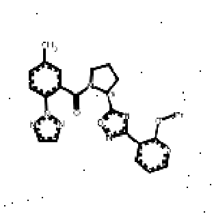 Cc1ccc(-n2nccn2)c(C(=O)N2CCC[C@H]2c2nc(-c3cccnc3OC(C)C)no2)c1